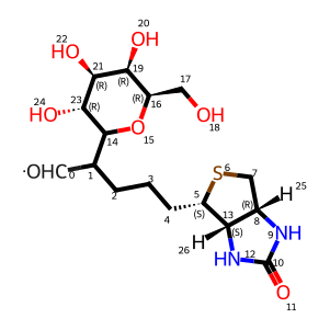 O=[C]C(CCC[C@@H]1SC[C@@H]2NC(=O)N[C@@H]21)C1O[C@H](CO)[C@H](O)[C@H](O)[C@H]1O